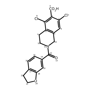 O=C(O)c1c(Cl)cc2c(c1Cl)CCN(C(=O)c1ccc3c(c1)OCC3)C2